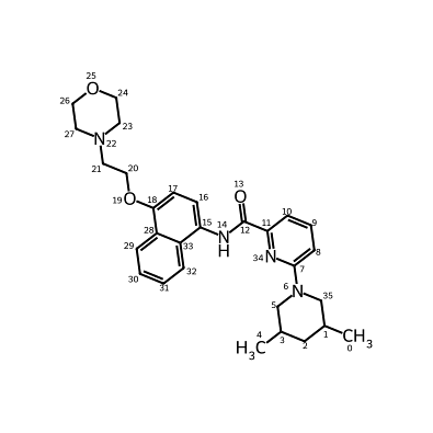 CC1CC(C)CN(c2cccc(C(=O)Nc3ccc(OCCN4CCOCC4)c4ccccc34)n2)C1